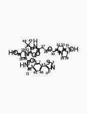 Cc1ncsc1-c1ccc([C@H](C)NC(=O)[C@@H]2C[C@@H](O)CN2C(=O)[C@@H](NC(=O)CCOC[C@H]2CC[C@@]3(CO)CCCN23)C(C)(C)C)cc1